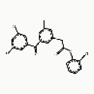 Cc1cc(CC(=O)Nc2ccccc2Cl)cc(C(=O)c2cc(Cl)cc(Cl)c2)c1